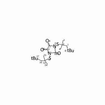 CC(C)(C)CC(C)(C)SN1C(=O)C(=O)N(SC(C)(C)CC(C)(C)C)C1=O